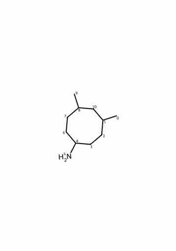 CC1CCC(N)CCC(C)C1